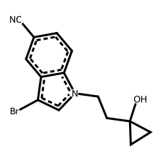 N#Cc1ccc2c(c1)c(Br)cn2CCC1(O)CC1